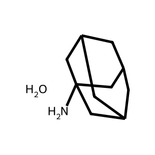 NC12CC3CC(CC(C3)C1)C2.O